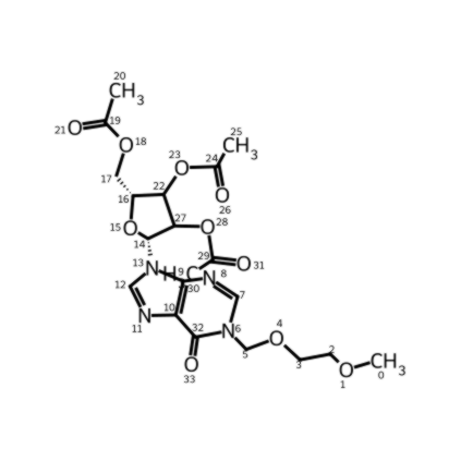 COCCOCn1cnc2c(ncn2[C@@H]2O[C@H](COC(C)=O)C(OC(C)=O)C2OC(C)=O)c1=O